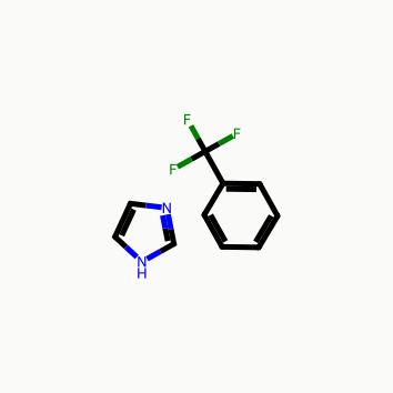 FC(F)(F)c1ccccc1.c1c[nH]cn1